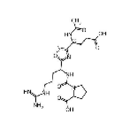 CC(=O)N[C@@H](CCC(=O)O)c1noc(C(CCCNC(=N)N)NC(=O)N2CCCC2C(=O)O)n1